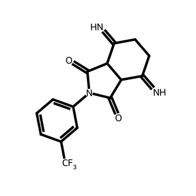 N=C1CCC(=N)C2C(=O)N(c3cccc(C(F)(F)F)c3)C(=O)C12